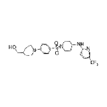 O=S(=O)(c1ccc(N2CCC(CO)CC2)cc1)N1CCC(Nc2ccc(C(F)(F)F)cn2)CC1